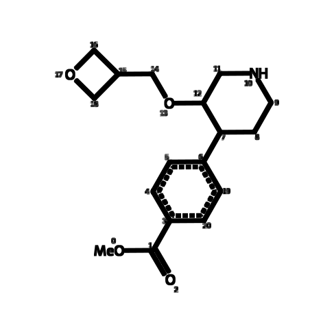 COC(=O)c1ccc(C2CCNCC2OCC2COC2)cc1